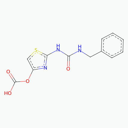 O=C(NCc1ccccc1)Nc1nc(OC(=O)O)cs1